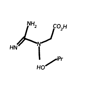 CC(C)O.CN(CC(=O)O)C(=N)N